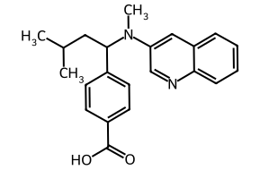 CC(C)CC(c1ccc(C(=O)O)cc1)N(C)c1cnc2ccccc2c1